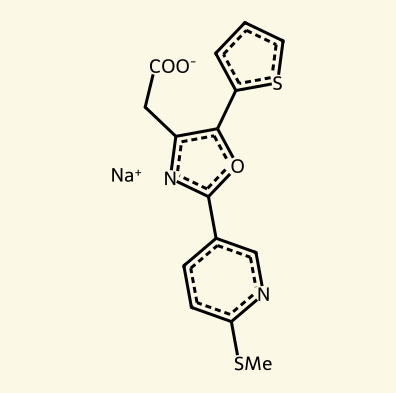 CSc1ccc(-c2nc(CC(=O)[O-])c(-c3cccs3)o2)cn1.[Na+]